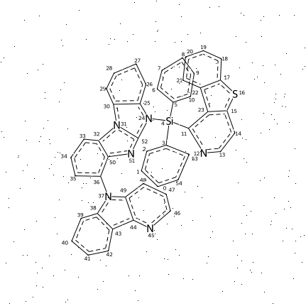 c1ccc([Si](c2ccccc2)(c2nccc3sc4ccccc4c23)n2c3ccccc3n3c4cccc(-n5c6ccccc6c6ncccc65)c4nc23)cc1